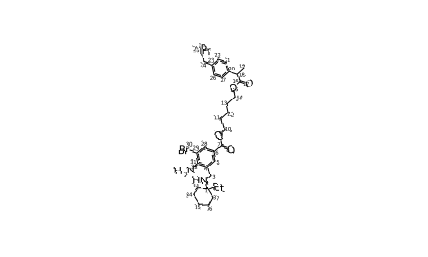 CCC1(NCc2cc(C(=O)OCCCCCOC(=O)C(C)c3ccc(CC(C)C)cc3)cc(Br)c2N)CCCCC1